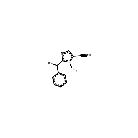 C#Cc1cnc(C(O)c2ccccc2)n1C